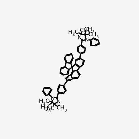 CC1(C)N=C(c2ccc(-c3ccc4c(c3)C3(c5ccccc5-c5ccccc53)c3c-4ccc4cc(-c5ccc(C6=NC(C)(C)C(C)(C)N6c6ccccc6)cc5)ccc34)cc2)N(c2ccccc2)C1(C)C